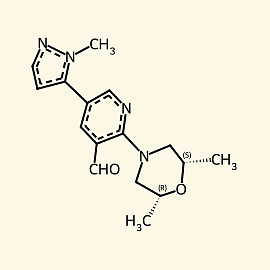 C[C@@H]1CN(c2ncc(-c3ccnn3C)cc2C=O)C[C@H](C)O1